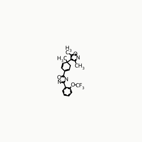 Cc1noc(C)c1C1(C)C=CC(c2nc(-c3ccccc3OC(F)(F)F)no2)=CC1